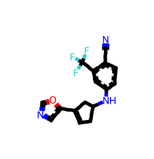 N#Cc1ccc(NC2CC=C(c3cnco3)C2)cc1C(F)(F)F